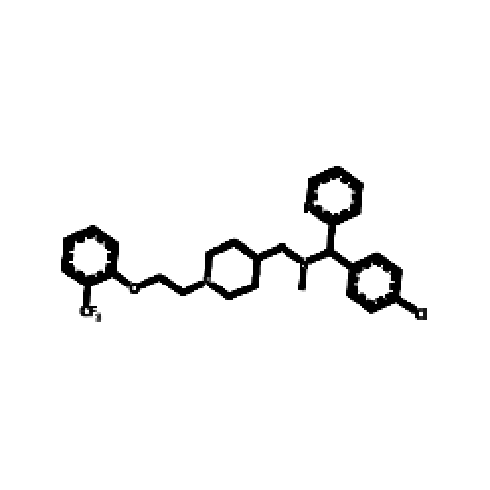 CN(CC1CCN(CCOc2ccccc2C(F)(F)F)CC1)C(c1ccc(Cl)cc1)c1ccccn1